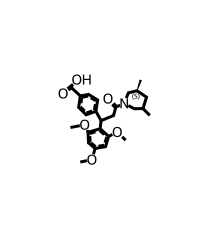 COc1cc(OC)c(C(CC(=O)N2CC(C)C[C@H](C)C2)c2ccc(C(=O)O)cc2)c(OC)c1